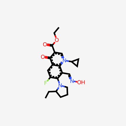 CCOC(=O)c1cn(C2CC2)c2c(C=NO)c(N3CCCC3CC)c(F)cc2c1=O